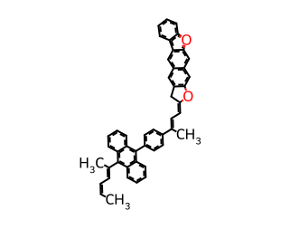 C/C=C\C=C(/C)c1c2ccccc2c(-c2ccc(/C(C)=C/C=C3\Cc4cc5cc6c(cc5cc4O3)oc3ccccc36)cc2)c2ccccc12